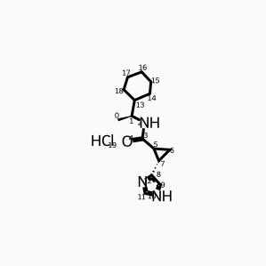 C[C@H](NC(=O)C1C[C@@H]1c1c[nH]cn1)C1CCCCC1.Cl